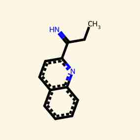 CCC(=N)c1ccc2ccccc2n1